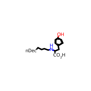 CCCCCCCCCCCCCCNC(Cc1ccc(O)cc1)C(=O)O